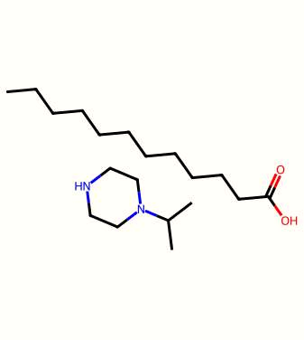 CC(C)N1CCNCC1.CCCCCCCCCCCC(=O)O